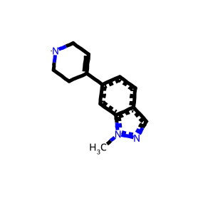 Cn1ncc2ccc(C3=CC[N]CC3)cc21